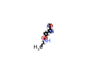 CCCCCNC(=O)Oc1cccc(-c2cncc(-c3ncco3)c2)c1